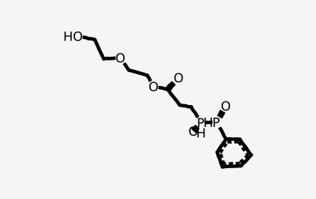 O=C(CC[PH](=O)[PH](=O)c1ccccc1)OCCOCCO